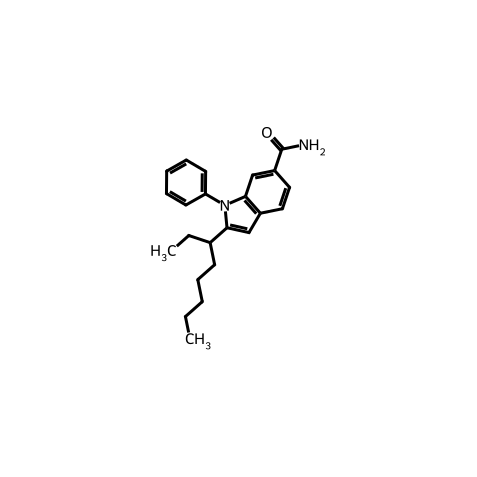 CCCCCC(CC)c1cc2ccc(C(N)=O)cc2n1-c1ccccc1